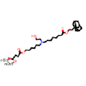 CCCCCCCCOC(CCC(=O)OCCCCCCN(CCO)CCCCCCCC(=O)OCCC12CC3CC(CC(C3)C1)C2)OCCCCCCCC